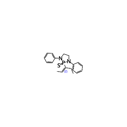 C/C=C(/CC)P1(=S)N(c2ccccc2)CCN1c1ccccc1